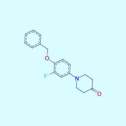 O=C1CCN(c2ccc(OCc3ccccc3)c(F)c2)CC1